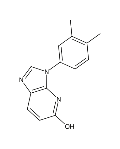 Cc1ccc(-n2cnc3ccc(O)nc32)cc1C